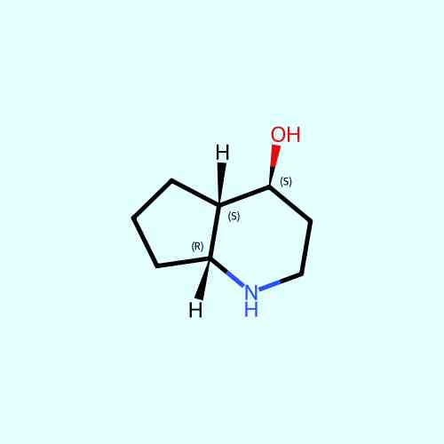 O[C@H]1CCN[C@@H]2CCC[C@H]12